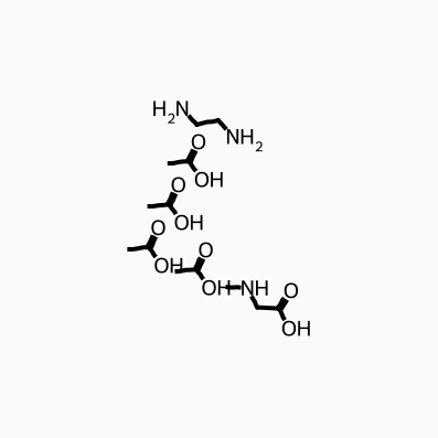 CC(=O)O.CC(=O)O.CC(=O)O.CC(=O)O.CNCC(=O)O.NCCN